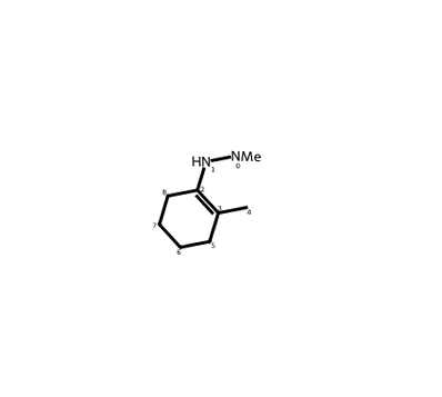 CNNC1=C(C)CCCC1